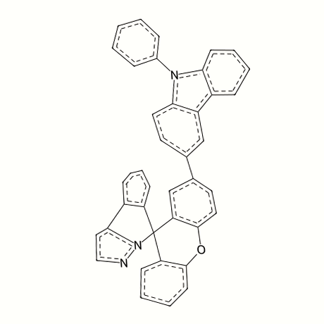 c1ccc(-n2c3ccccc3c3cc(-c4ccc5c(c4)C4(c6ccccc6O5)c5ccccc5-c5ccnn54)ccc32)cc1